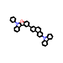 c1ccc(-n2c3ccccc3c3c4cc(-c5ccc6c(ccc7cc(-n8c9ccccc9c9ccccc98)ccc76)c5)ccc4oc32)cc1